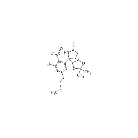 CCCSc1nc(Cl)c([N+](=O)[O-])c(C23CC(C(=O)N2)C2OC(C)(C)OC23)n1